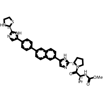 COC(=O)N[C@H](C(=O)N1CCC[C@H]1c1ncc(-c2ccc3cc(-c4ccc(-c5cnc([C@H]6NCCS6)[nH]5)cc4)ccc3c2)[nH]1)C(C)C